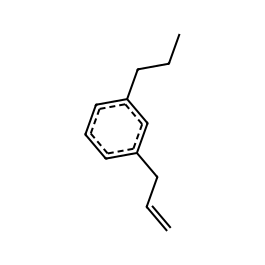 C=CCc1cccc(CCC)c1